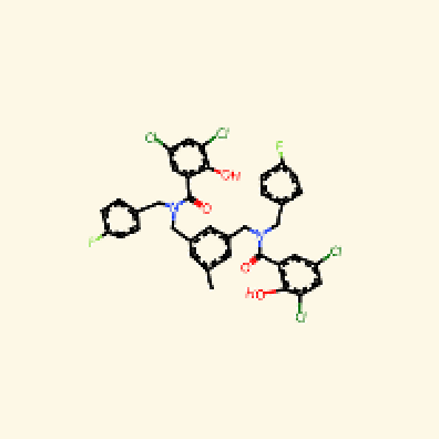 Cc1cc(CN(Cc2ccc(F)cc2)C(=O)c2cc(Cl)cc(Cl)c2O)cc(CN(Cc2ccc(F)cc2)C(=O)c2cc(Cl)cc(Cl)c2O)c1